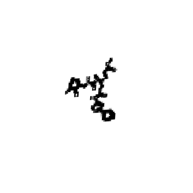 COC(=O)CC[C@@H](COC(=O)Nc1cc(-c2ccccc2)no1)N(C)C(=O)NCc1cccc(F)c1Cl